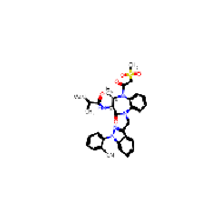 CNC(C)C(=O)N[C@@H]1C(=O)N(Cc2nn(-c3ccccc3C#N)c3ccccc23)c2ccccc2N(C(=O)CS(C)(=O)=O)[C@H]1C